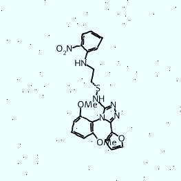 COc1cccc(OC)c1-n1c(NSCCNc2ccccc2[N+](=O)[O-])nnc1-c1ccco1